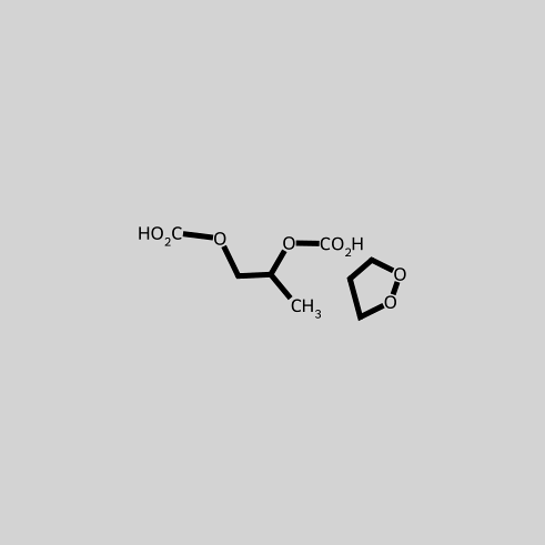 C1COOC1.CC(COC(=O)O)OC(=O)O